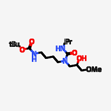 COC[C@H](O)CN(CCCCNC(=O)OC(C)(C)C)C(=O)NC(C)C